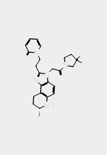 C[C@H]1CCc2c(ccc3c2nc(CCn2ccccc2=O)n3CC(=O)N2CCC(F)(F)C2)N1